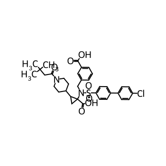 CC(C)(C)CC(=O)N1CCC(C2CC2(C(=O)O)N(Cc2cccc(C(=O)O)c2)S(=O)(=O)c2ccc(-c3ccc(Cl)cc3)cc2)CC1